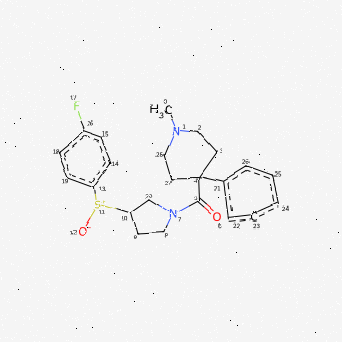 CN1CCC(C(=O)N2CCC([S+]([O-])c3ccc(F)cc3)C2)(c2ccccc2)CC1